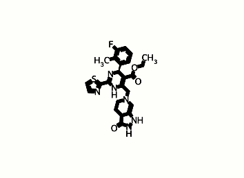 CCOC(=O)C1=C(CN2C=C3NNC(=O)C3CC2)NC(c2nccs2)=N[C@H]1c1cccc(F)c1C